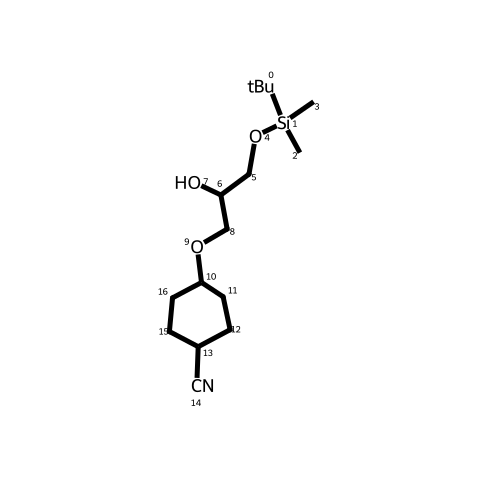 CC(C)(C)[Si](C)(C)OCC(O)COC1CCC(C#N)CC1